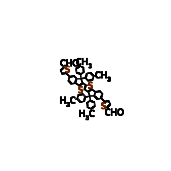 Cc1ccc(C2(c3ccc(C)cc3)c3cc(-c4ccc(C=O)s4)ccc3-c3sc4c5c(sc4c32)-c2ccc(-c3ccc(C=O)s3)cc2C5(c2ccc(C)cc2)c2ccc(C)cc2)cc1